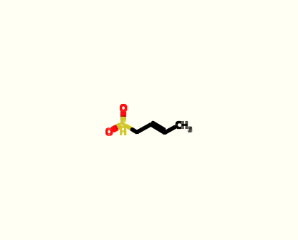 CC=CC[SH](=O)=O